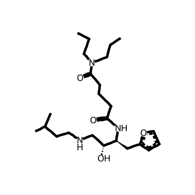 CCCN(CCC)C(=O)CCCC(=O)N[C@@H](Cc1ccco1)[C@H](O)CNCCC(C)C